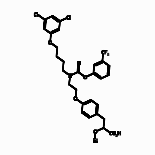 CCOC(Cc1ccc(OCCN(CCCCOc2cc(Cl)cc(Cl)c2)C(=O)Oc2cccc(C(F)(F)F)c2)cc1)C(=O)O